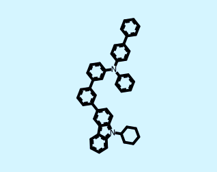 c1ccc(-c2ccc(N(c3ccccc3)c3cccc(-c4cccc(-c5ccc6c(c5)c5ccccc5n6C5CCCCC5)c4)c3)cc2)cc1